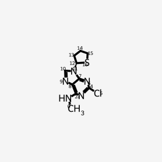 CNc1nc(Cl)nc2c1ncn2[C@H]1CCCS1